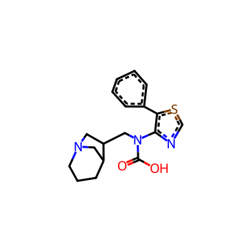 O=C(O)N(CC1CN2CCCC1C2)c1ncsc1-c1ccccc1